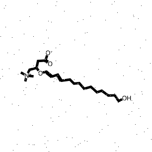 C[N+](C)(C)CC(CC(=O)[O-])OC=CC=CCCCCCCCCCCO